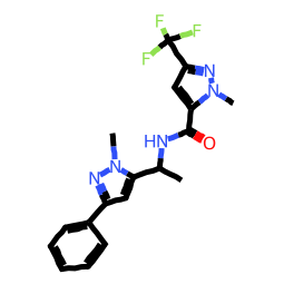 CC(NC(=O)c1cc(C(F)(F)F)nn1C)c1cc(-c2ccccc2)nn1C